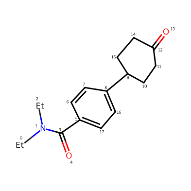 CCN(CC)C(=O)c1ccc(C2CCC(=O)CC2)cc1